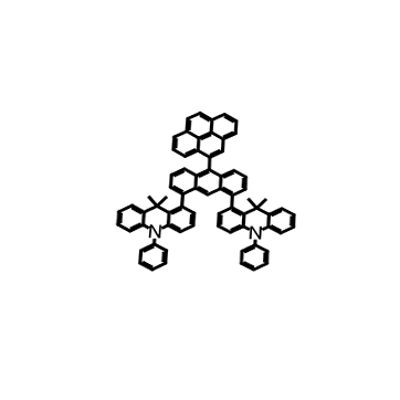 CC1(C)c2ccccc2N(c2ccccc2)c2cccc(-c3cccc4c(-c5cc6cccc7ccc8cccc5c8c76)c5cccc(-c6cccc7c6C(C)(C)c6ccccc6N7c6ccccc6)c5cc34)c21